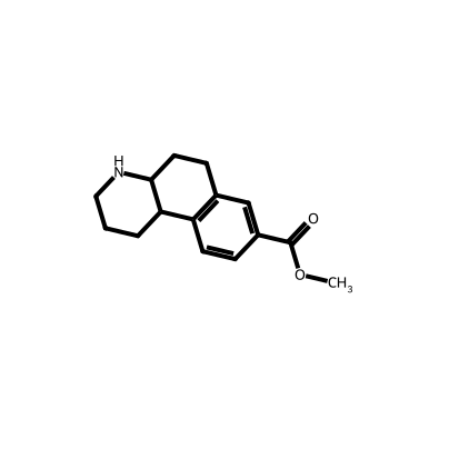 COC(=O)c1ccc2c(c1)CCC1NCCCC21